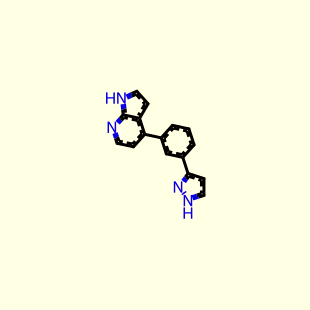 c1cc(-c2cc[nH]n2)cc(-c2ccnc3[nH]ccc23)c1